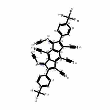 N#C/N=c1/c(-c2ccc(C(F)(F)F)cc2)c(C#N)c2c(C#N)c3c(C#N)c(-c4ccc(C(F)(F)F)cc4)/c(=N/C#N)c3c(C#N)c12